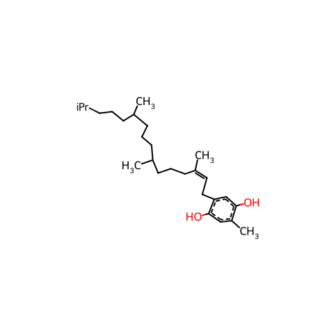 CC(=CCc1cc(O)c(C)cc1O)CCCC(C)CCCC(C)CCCC(C)C